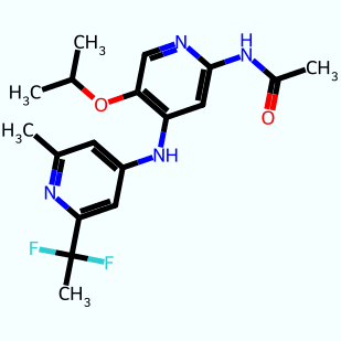 CC(=O)Nc1cc(Nc2cc(C)nc(C(C)(F)F)c2)c(OC(C)C)cn1